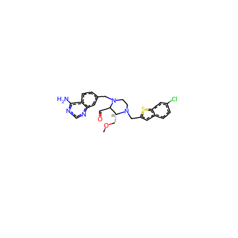 COC[C@@H]1C(C=O)N(Cc2ccc3c(N)ncnc3c2)CCN1Cc1cc2ccc(Cl)cc2s1